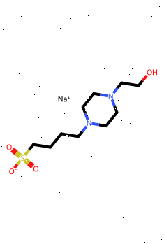 O=S(=O)([O-])CCCCN1CCN(CCO)CC1.[Na+]